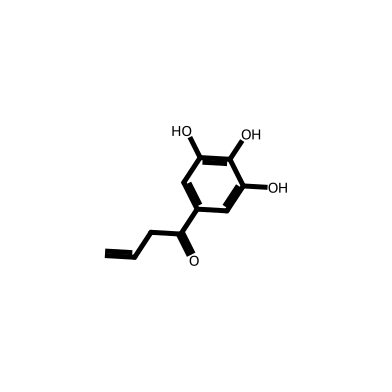 C=CCC(=O)c1cc(O)c(O)c(O)c1